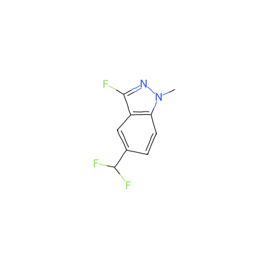 Cn1nc(F)c2cc(C(F)F)ccc21